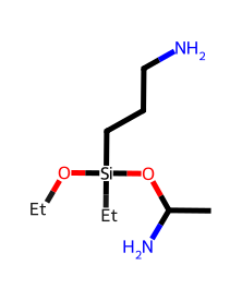 CCO[Si](CC)(CCCN)OC(C)N